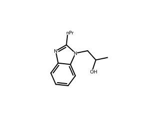 CCCc1nc2ccccc2n1CC(C)O